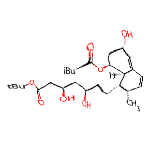 CC[C@H](C)C(=O)O[C@H]1C[C@H](O)C=C2C=C[C@H](C)[C@H](CC[C@@H](O)C[C@@H](O)CC(=O)OC(C)(C)C)[C@H]21